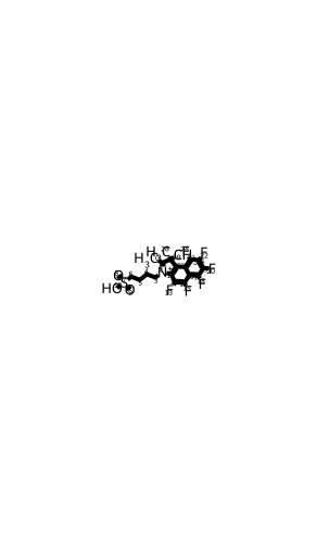 CC1=[N+](CCCCS(=O)(=O)O)c2c(F)c(F)c3c(F)c(F)c(F)c(F)c3c2C1(C)C